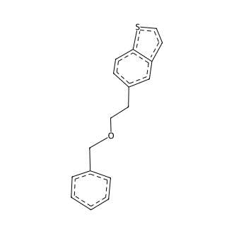 c1ccc(COCCc2ccc3sccc3c2)cc1